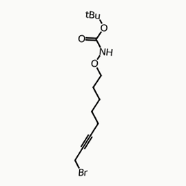 CC(C)(C)OC(=O)NOCCCCCC#CCBr